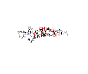 C=C/C=C\CC[C@H]1O[C@H]2CC[C@@]3(C)O[C@H]4[C@@H](O)C[C@@]5(C)O[C@@H](CC/C=C(C)/C(C)=C/C(C)(C)C)[C@@H](C)C[C@@H]5O[C@@H]4C[C@@H]3O[C@@H]2CC[C@]1(C)O